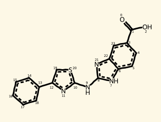 O=C(O)c1ccc2[nH]c(Nc3nc(-c4ccccc4)cs3)nc2c1